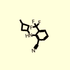 CC1CC(Nc2c(C#N)cccc2C(F)(F)F)C1